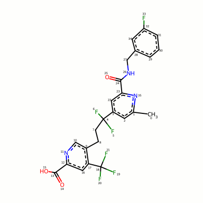 Cc1cc(C(F)(F)CCc2cnc(C(=O)O)cc2C(F)(F)F)cc(C(=O)NCc2cccc(F)c2)n1